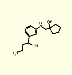 NCCC(O)c1cccc(NCC2(O)CCCC2)c1